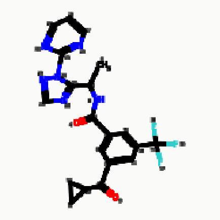 CC(NC(=O)c1cc(C(=O)C2CC2)cc(C(F)(F)F)c1)c1ncnn1-c1ncccn1